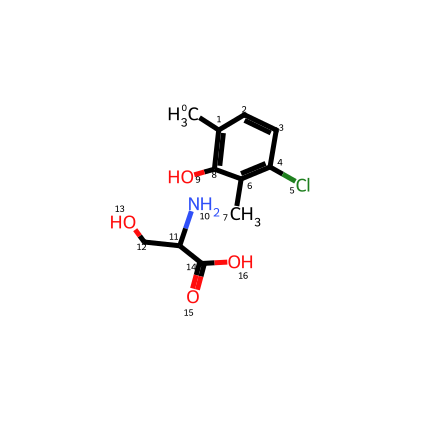 Cc1ccc(Cl)c(C)c1O.NC(CO)C(=O)O